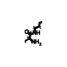 CCCNC(=O)[C@H](C)N